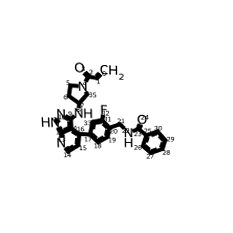 C=CC(=O)N1CCC(Nc2n[nH]c3nccc(-c4ccc(CNC(=O)c5ccccc5)c(F)c4)c23)C1